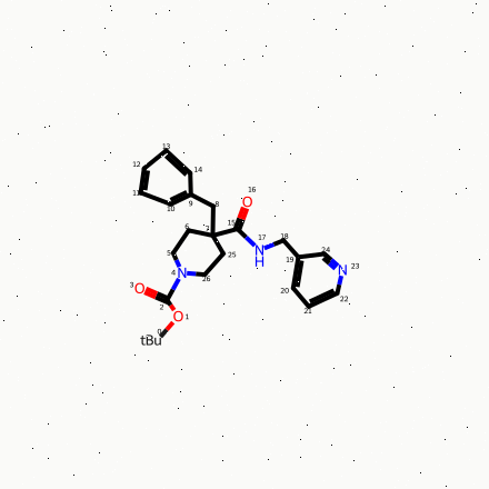 CC(C)(C)OC(=O)N1CCC(Cc2ccccc2)(C(=O)NCc2cccnc2)CC1